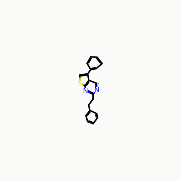 [c]1nc(CCc2ccccc2)nc2scc(-c3ccccc3)c12